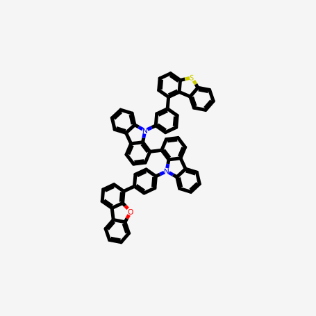 c1cc(-c2cccc3sc4ccccc4c23)cc(-n2c3ccccc3c3cccc(-c4cccc5c6ccccc6n(-c6ccc(-c7cccc8c7oc7ccccc78)cc6)c45)c32)c1